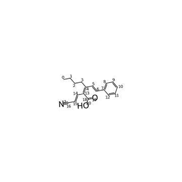 CCCCC(C=Cc1ccccc1)=C(C=CC#N)C(=O)O